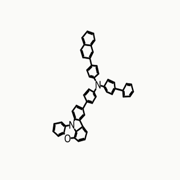 c1ccc(-c2ccc(N(c3ccc(-c4ccc5ccccc5c4)cc3)c3ccc(-c4ccc5c(c4)c4cccc6c4n5-c4ccccc4O6)cc3)cc2)cc1